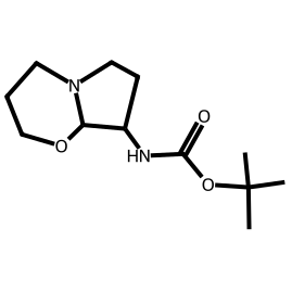 CC(C)(C)OC(=O)NC1CCN2CCCOC12